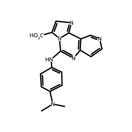 CN(C)c1ccc(Nc2nc3ccncc3c3ncc(C(=O)O)n23)cc1